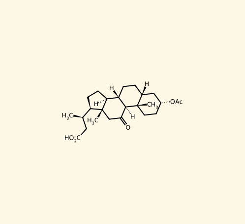 CC(=O)O[C@@H]1CC[C@@]2(C)[C@H](CC[C@H]3[C@@H]4CC[C@H]([C@H](C)CC(=O)O)[C@@]4(C)CC(=O)[C@@H]32)C1